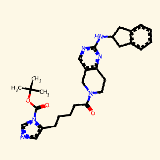 CC(C)(C)OC(=O)n1cncc1CCCCC(=O)N1CCc2nc(NC3Cc4ccccc4C3)ncc2C1